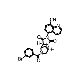 N#Cc1ccc(N2C(=O)[C@@H]3C4C[C@H](CN4C(=O)c4cccc(Br)c4)N3C2=O)c2cccnc12